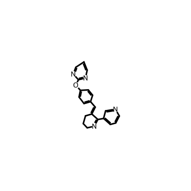 C(=C1/CCCN=C1c1cccnc1)/c1ccc(Oc2ncccn2)cc1